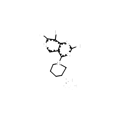 O=C(O)N[C@@H]1CCCN(c2nc(Cl)nc3c(F)c(Cl)ncc23)C1